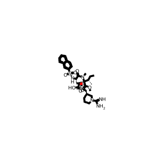 CC[C@H](C)[C@@](CC(=O)O)(C(=O)OC)N(C)C(=O)[C@H](CC(=O)NC[C@@H]1CCCN(C(=N)N)C1)NS(=O)(=O)c1ccc2ccccc2c1